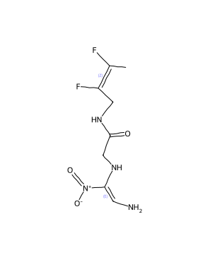 C/C(F)=C(/F)CNC(=O)CN/C(=C\N)[N+](=O)[O-]